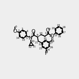 COc1ccc(N(C(=O)[C@@H](CCC(=O)Oc2ccccc2)Cc2cc(F)cc(F)c2)C2CC2)cc1